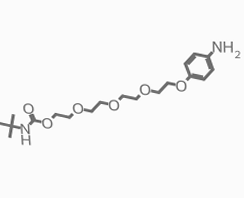 CC(C)(C)NC(=O)OCCOCCOCCOCCOc1ccc(N)cc1